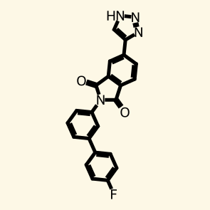 O=C1c2ccc(-c3c[nH]nn3)cc2C(=O)N1c1cccc(-c2ccc(F)cc2)c1